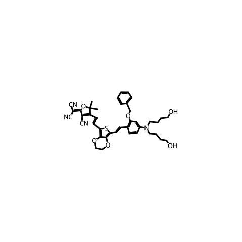 CC1(C)OC(=C(C#N)C#N)C(C#N)=C1/C=C/c1sc(/C=C/c2ccc(N(CCCCO)CCCCO)cc2OCc2ccccc2)c2c1OCCO2